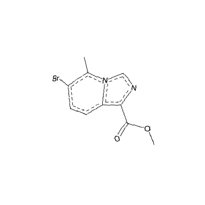 COC(=O)c1ncn2c(C)c(Br)ccc12